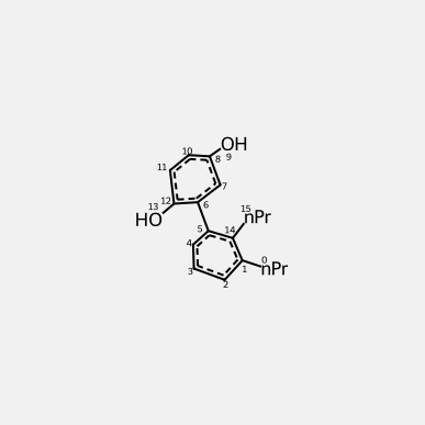 CCCc1cccc(-c2cc(O)ccc2O)c1CCC